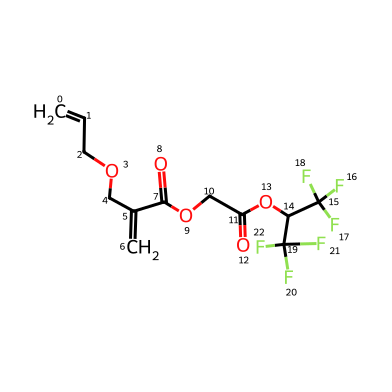 C=CCOCC(=C)C(=O)OCC(=O)OC(C(F)(F)F)C(F)(F)F